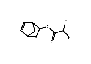 O=C(OC1CC2C=CC1C2)C(F)F